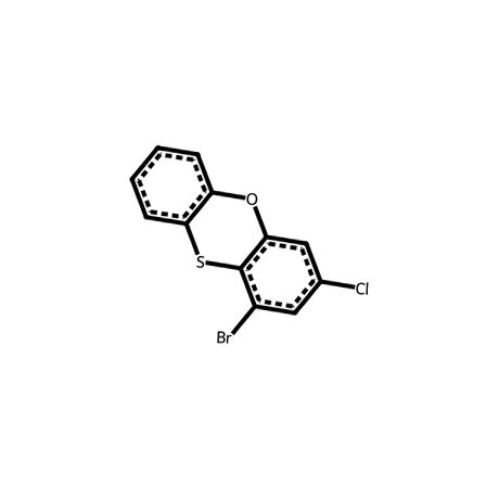 Clc1cc(Br)c2c(c1)Oc1ccccc1S2